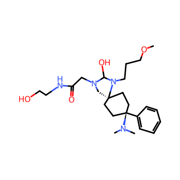 COCCCN1C(O)N(CC(=O)NCCO)C[C@]12CC[C@](c1ccccc1)(N(C)C)CC2